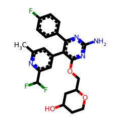 Cc1cc(-c2c(OCC3CC(O)CCO3)nc(N)nc2-c2ccc(F)cc2)cc(C(F)F)n1